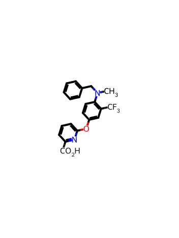 CN(Cc1ccccc1)c1ccc(Oc2cccc(C(=O)O)n2)cc1C(F)(F)F